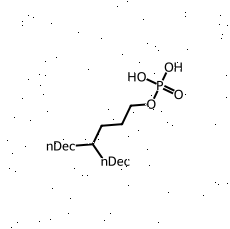 CCCCCCCCCCC(CCCCCCCCCC)CCCOP(=O)(O)O